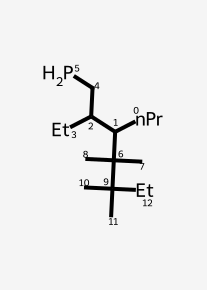 CCCC(C(CC)CP)C(C)(C)C(C)(C)CC